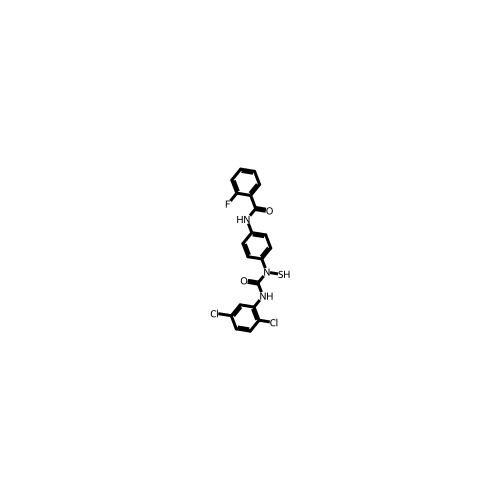 O=C(Nc1ccc(N(S)C(=O)Nc2cc(Cl)ccc2Cl)cc1)c1ccccc1F